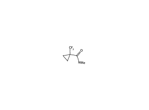 CNC(=O)C1(C(F)(F)F)CC1